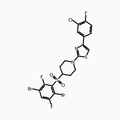 O=S(=O)(c1c(F)c(Br)cc(F)c1Br)C1CCN(c2nc(-c3ccc(F)c(Cl)c3)cs2)CC1